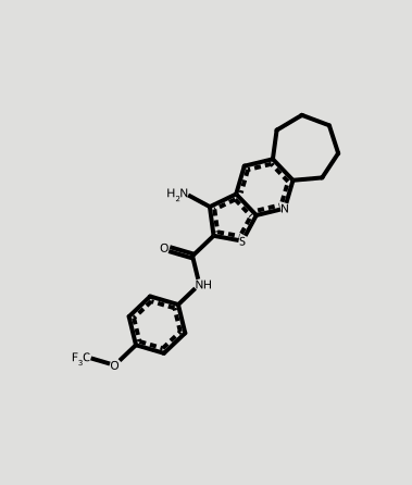 Nc1c(C(=O)Nc2ccc(OC(F)(F)F)cc2)sc2nc3c(cc12)CCCCC3